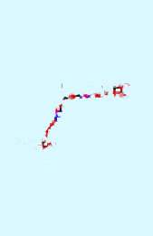 CC(=O)N[C@H]1[C@H](OCCOCCOCCNC(=O)CCOCC(C)COCCC(=O)NCCOCCOCCO[C@@H]2O[C@H](CO)[C@H](O)[C@H](O)[C@H]2NC(C)=O)O[C@H](CO)[C@H](O)[C@@H]1O